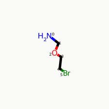 NCOCCBr